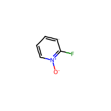 [O-][n+]1ccc[c]c1F